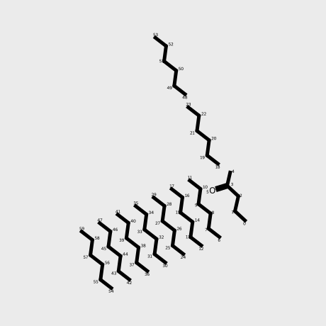 CCCC(C)=O.CCCCCC.CCCCCC.CCCCCC.CCCCCC.CCCCCC.CCCCCC.CCCCCC.CCCCCC.CCCCCC